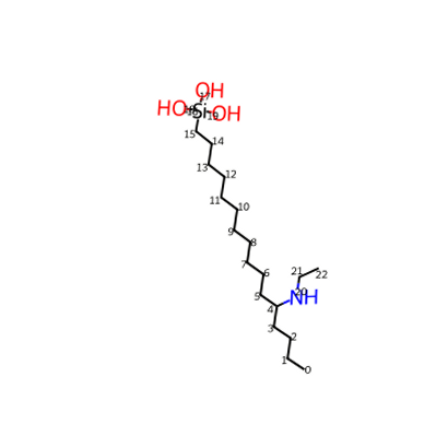 CCCCC(CCCCCCCCCCC[Si](O)(O)O)NCC